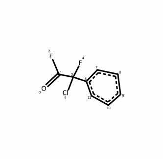 O=C(F)C(F)(Cl)c1ccccc1